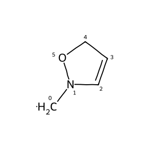 [CH2]N1C=CCO1